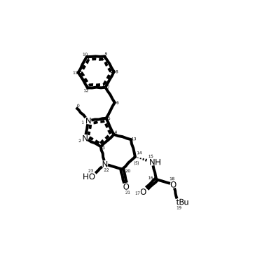 Cn1nc2c(c1Cc1ccccc1)C[C@H](NC(=O)OC(C)(C)C)C(=O)N2O